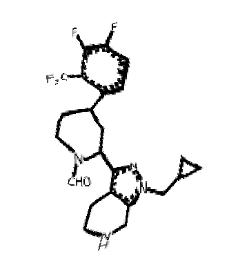 O=CN1CCC(c2ccc(F)c(F)c2C(F)(F)F)CC1c1nn(CC2CC2)c2c1CCNC2